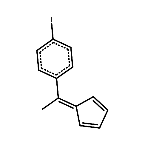 CC(=C1C=CC=C1)c1ccc(I)cc1